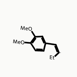 CC/[C]=C\c1ccc(OC)c(OC)c1